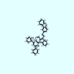 C=Cc1c(/C=C/c2ccc3sc4ccccc4c3c2)c2ccccc2n1-c1nc(-c2ccccc2)cc(-c2ccccc2)n1